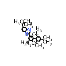 Cc1cc(-c2cnc3cc(CC(C)(C)C)ccc3n2)cc(-c2c(C(C)C)cc(C(C)C)cc2C(C)C)c1